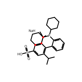 CC(C)c1cc(S(=O)(=O)O)cc(C(C)C)c1-c1ccccc1P(C1CCCCC1)C1CCCCC1.[NaH]